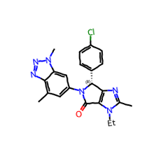 CCn1c(C)nc2c1C(=O)N(c1cc(C)c3nnn(C)c3c1)[C@@H]2c1ccc(Cl)cc1